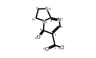 O=C(Cl)c1cnc2n(c1=O)CCS2